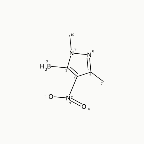 Bc1c([N+](=O)[O-])c(C)nn1C